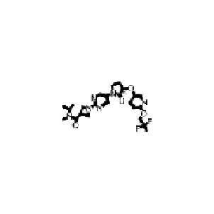 CC(C)N(C)C(=O)C1CN(c2ncc(N3CC[C@@H](Oc4ccc(OCC(C)(F)F)nc4)C3=O)cn2)C1